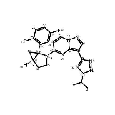 CC(C)n1nnc(-c2cnn3ccc(N4CC[C@H]5C[C@]54c4cc(F)ccc4F)nc23)n1